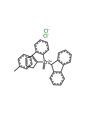 [CH2]=[Zr+2]([C]1=CC=CC1)([c]1ccccc1-c1ccc(C)cc1)[CH]1c2ccccc2-c2ccccc21.[Cl-].[Cl-]